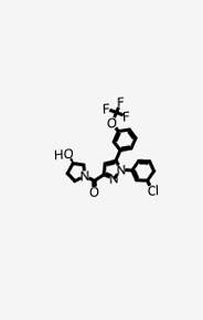 O=C(c1cc(-c2cccc(OC(F)(F)F)c2)n(C2=CC(Cl)CC=C2)n1)N1CC[C@@H](O)C1